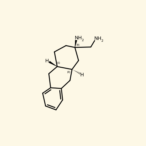 NC[C@@]1(N)CC[C@H]2Cc3ccccc3C[C@@H]2C1